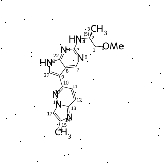 COC[C@H](C)Nc1ncc2c(-c3ccc4nc(C)cn4n3)c[nH]c2n1